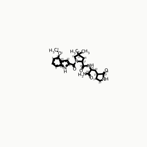 COc1cccc2[nH]c(C(=O)N3CC(C)(C)CC3C(=O)NC(CC3CCNC3=O)C(N)=O)cc12